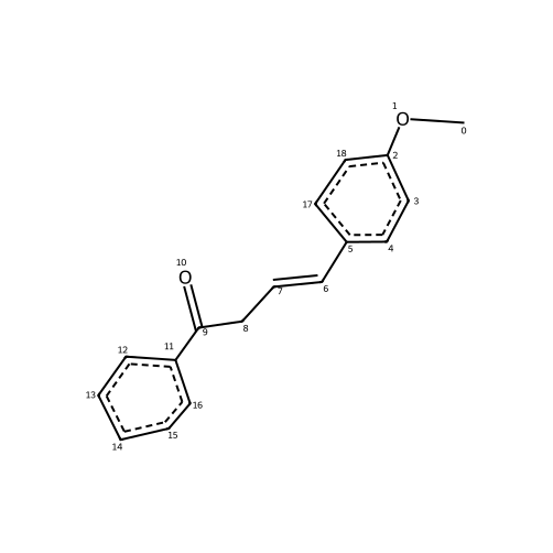 COc1ccc(C=CCC(=O)c2ccccc2)cc1